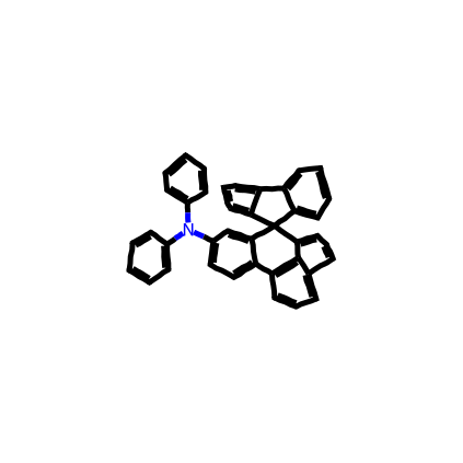 c1ccc(N(c2ccccc2)c2ccc3c(c2)C2(c4ccccc4-c4ccccc42)c2cccc4cccc-3c24)cc1